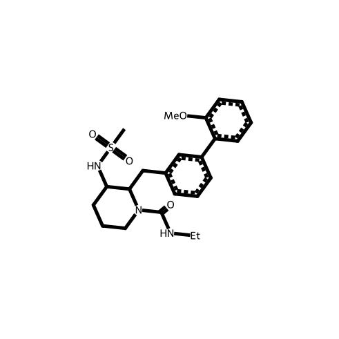 CCNC(=O)N1CCCC(NS(C)(=O)=O)C1Cc1cccc(-c2ccccc2OC)c1